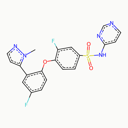 Cn1nccc1-c1cc(F)ccc1Oc1ccc(S(=O)(=O)Nc2ccncn2)cc1F